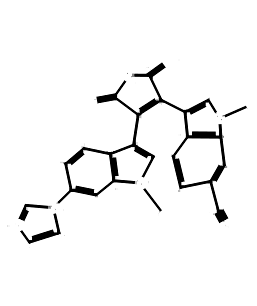 Cn1cc(C2=C(c3cn(C)c4cc(-n5ccnc5)ccc34)C(=O)NC2=O)c2ccc(C#N)cc21